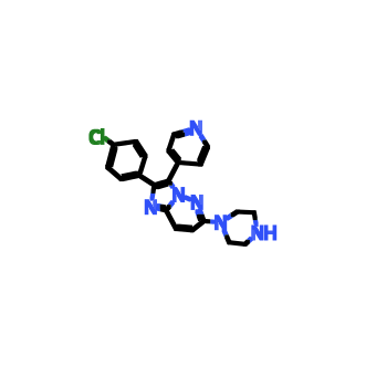 Clc1ccc(-c2nc3ccc(N4CCNCC4)nn3c2-c2ccncc2)cc1